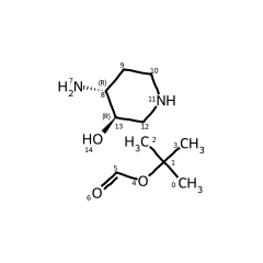 CC(C)(C)OC=O.N[C@@H]1CCNC[C@H]1O